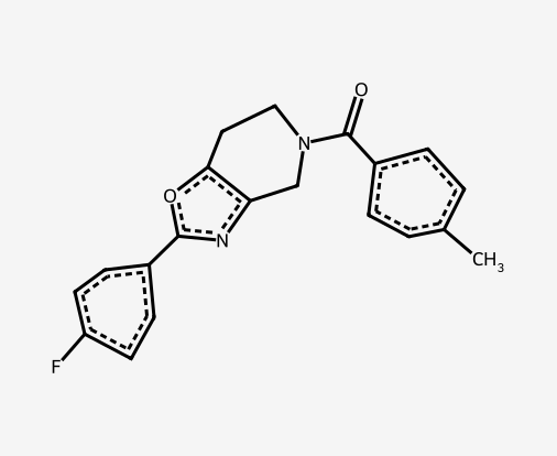 Cc1ccc(C(=O)N2CCc3oc(-c4ccc(F)cc4)nc3C2)cc1